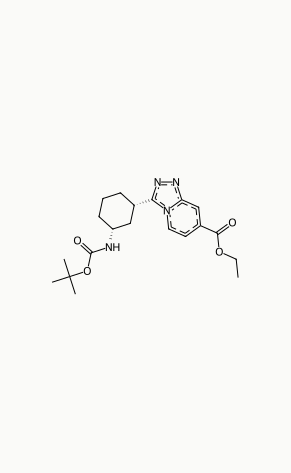 CCOC(=O)c1ccn2c([C@H]3CCC[C@@H](NC(=O)OC(C)(C)C)C3)nnc2c1